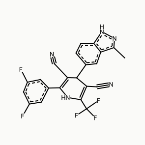 Cc1n[nH]c2ccc(C3C(C#N)=C(c4cc(F)cc(F)c4)NC(C(F)(F)F)=C3C#N)cc12